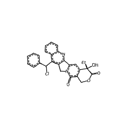 CCC1(O)C(=O)OCc2c1cc1n(c2=O)Cc2c-1nc1ccccc1c2C(Cl)c1ccccc1